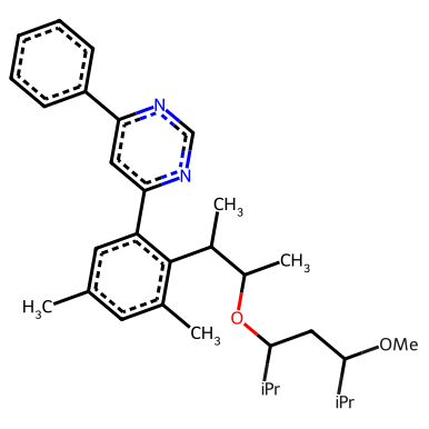 COC(CC(OC(C)C(C)c1c(C)cc(C)cc1-c1cc(-c2ccccc2)ncn1)C(C)C)C(C)C